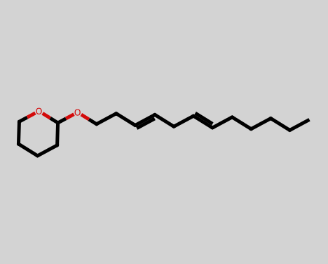 CCCCCC=CCC=CCCOC1CCCCO1